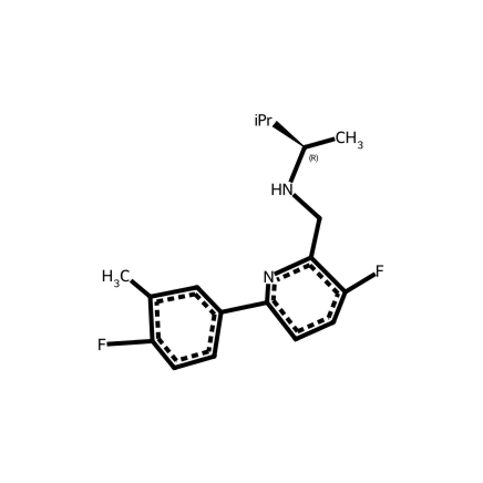 Cc1cc(-c2ccc(F)c(CN[C@H](C)C(C)C)n2)ccc1F